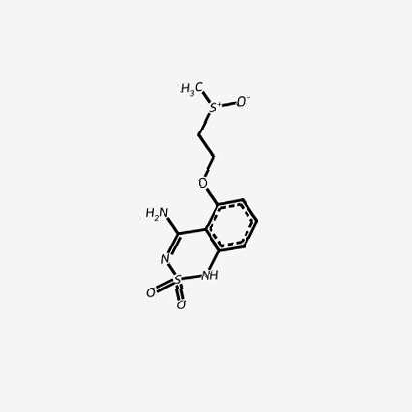 C[S+]([O-])CCOc1cccc2c1C(N)=NS(=O)(=O)N2